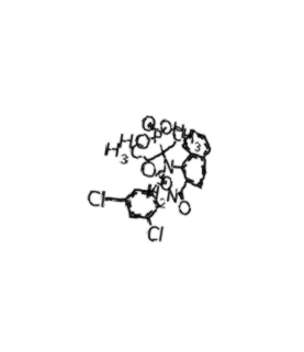 CCC(CC)(N(c1c(C(N)=O)ccc2ccccc12)S(=O)(=O)c1cc(Cl)cc(Cl)c1)P(=O)(O)O